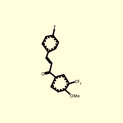 COc1ccc(C(=O)C=Cc2ccc(F)cc2)cc1C(F)(F)F